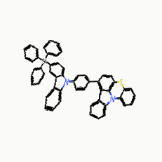 c1ccc([Si](c2ccccc2)(c2ccccc2)c2ccc3c(c2)c2ccccc2n3-c2ccc(-c3ccc4c5c3c3ccccc3n5-c3ccccc3S4)cc2)cc1